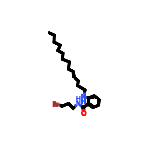 CCCCCCCCCC=CCCCNc1ccccc1C(=O)NCCCBr